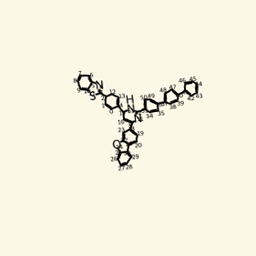 C1=CC(c2nc3ccccc3s2)CC=C1C1C=C(c2ccc3c(c2)oc2ccccc23)N=C(c2ccc(-c3ccc(-c4ccccc4)cc3)cc2)N1